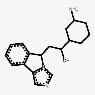 NC1CCCC(C(O)CC2c3ccccc3-c3cncn32)C1